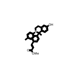 COC(=O)/C=C/c1ccc(C2(C)c3ccc(O)cc3CCN2c2ccc(C)cc2)cc1